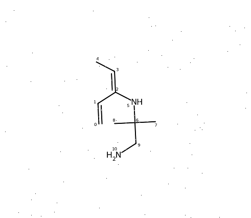 C=C/C(=C\C)NC(C)(C)CN